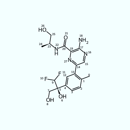 Cc1ccc([C@](O)(CO)C(F)F)cc1-c1cnc(N)c(C(=O)N[C@@H](C)CO)n1